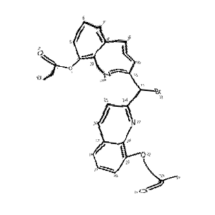 CC(=O)Oc1cccc2ccc(C(Br)c3ccc4cccc(OC(C)=O)c4n3)nc12